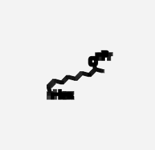 CCCCCC/C=C\CCCCCC(C)OCCC